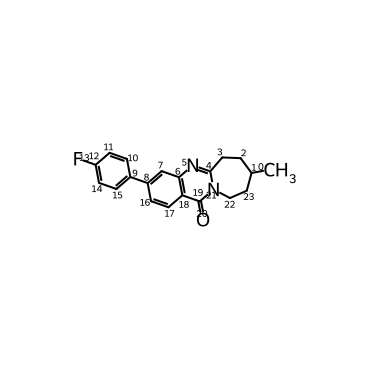 CC1CCc2nc3cc(-c4ccc(F)cc4)ccc3c(=O)n2CC1